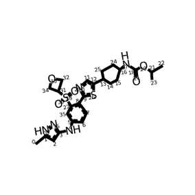 Cc1cc(Nc2ccc(-c3ncc(C4CCC(NC(=O)OC(C)C)CC4)s3)c(S(=O)(=O)C3COC3)c2)n[nH]1